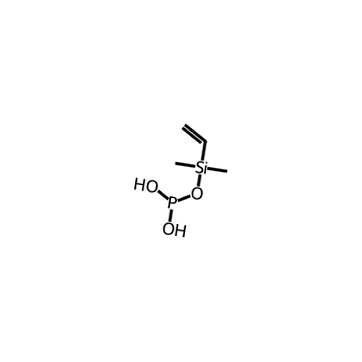 C=C[Si](C)(C)OP(O)O